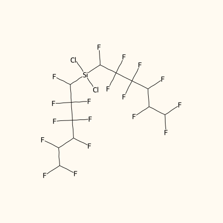 FC(F)C(F)C(F)C(F)(F)C(F)(F)C(F)[Si](Cl)(Cl)C(F)C(F)(F)C(F)(F)C(F)C(F)C(F)F